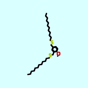 CCCCCCCCCCCCSCc1ccc(OC)c(CSCCCCCCCCCCCC)c1